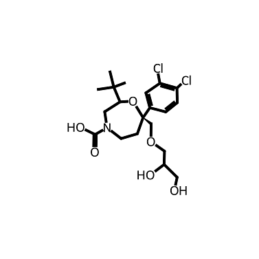 CC(C)(C)C1CN(C(=O)O)CC[C@@](COCC(O)CO)(c2ccc(Cl)c(Cl)c2)O1